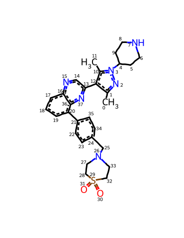 Cc1nn(C2CCNCC2)c(C)c1-c1cnc2cccc(-c3ccc(CN4CCS(=O)(=O)CC4)cc3)c2n1